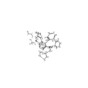 CCCC[C@H](C(N)=O)[C@@H](CC(C)C)C(=O)NC1C(=O)N(CC2CCCCC2)c2ccccc2-c2ccccc21